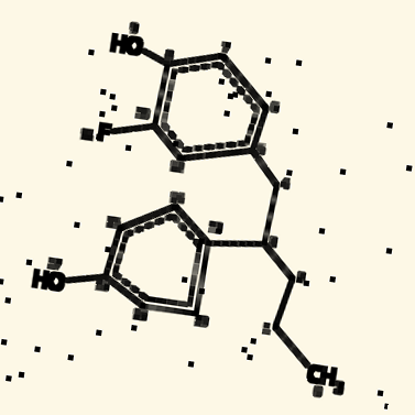 CCCC(Cc1ccc(O)c(F)c1)c1ccc(O)cc1